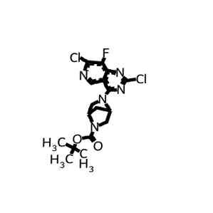 CC(C)(C)OC(=O)N1CC2CC1CN2c1nc(Cl)nc2c(F)c(Cl)ncc12